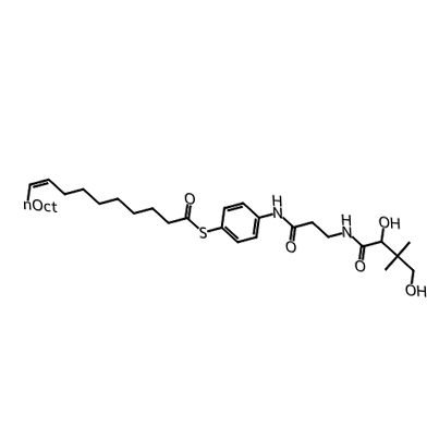 CCCCCCCC/C=C\CCCCCCCC(=O)Sc1ccc(NC(=O)CCNC(=O)C(O)C(C)(C)CO)cc1